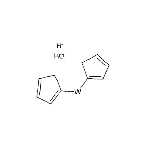 C1=CC[C]([W][C]2=CC=CC2)=C1.Cl.[H-]